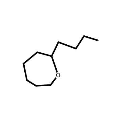 CCCCC1CCCCCO1